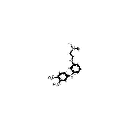 CCN(CC)CCOc1cccc(Oc2ccc([N+](=O)[O-])c(N)c2)c1